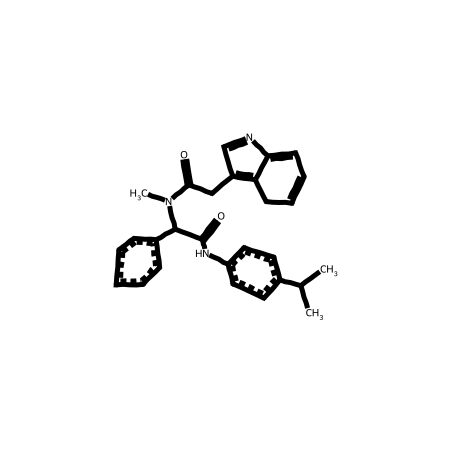 CC(C)c1ccc(NC(=O)C(c2ccccc2)N(C)C(=O)CC2=C3CC=CC=C3N=C2)cc1